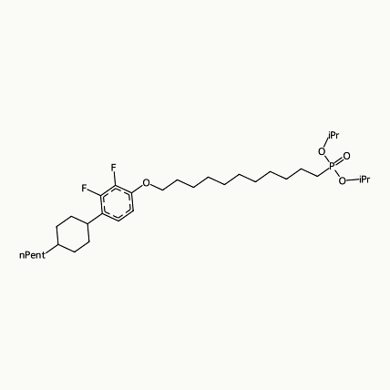 CCCCCC1CCC(c2ccc(OCCCCCCCCCCCP(=O)(OC(C)C)OC(C)C)c(F)c2F)CC1